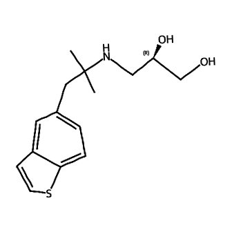 CC(C)(Cc1ccc2sccc2c1)NC[C@@H](O)CO